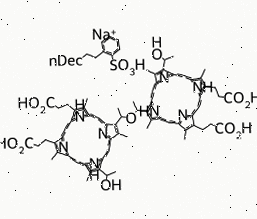 CC1=C(CCC(=O)O)c2cc3[nH]c(cc4nc(cc5[nH]c(cc1n2)c(C)c5C(C)OC(C)C1=C(C)c2cc5[nH]c(cc6nc(cc7[nH]c(cc1n2)c(C)c7CCC(=O)O)C(CCC(=O)O)=C6C)c(C)c5C(C)O)C(C)=C4C(C)O)c(C)c3CCC(=O)O.CCCCCCCCCCCCc1ccccc1S(=O)(=O)O.[Na+]